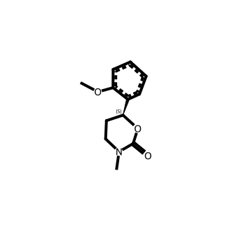 COc1ccccc1[C@@H]1CCN(C)C(=O)O1